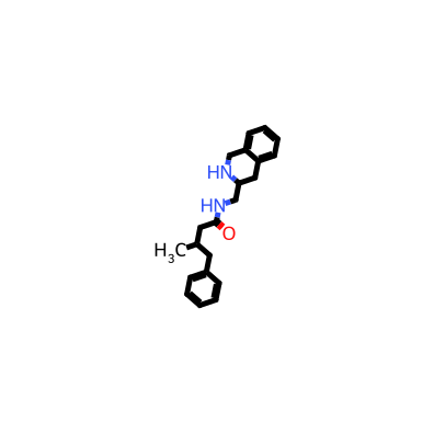 CC(CC(=O)NCC1Cc2ccccc2CN1)Cc1ccccc1